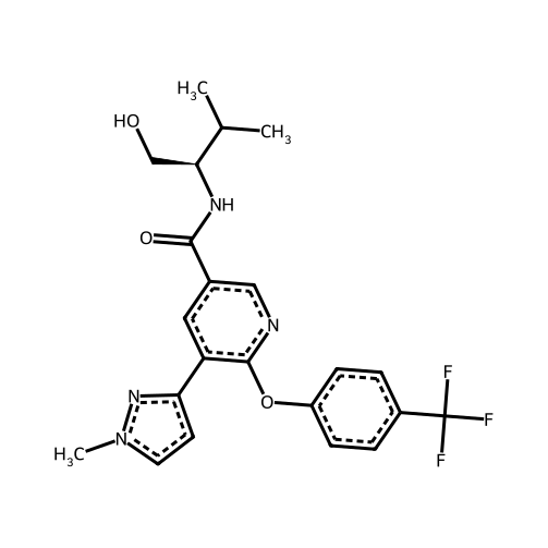 CC(C)[C@H](CO)NC(=O)c1cnc(Oc2ccc(C(F)(F)F)cc2)c(-c2ccn(C)n2)c1